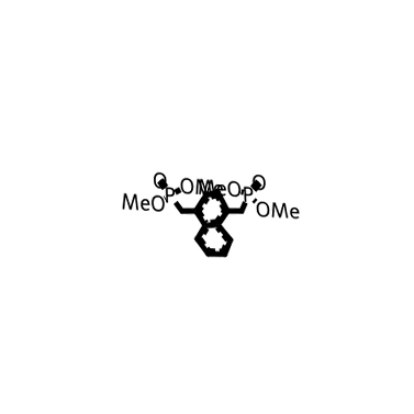 COP(=O)(Cc1ccc(CP(=O)(OC)OC)c2ccccc12)OC